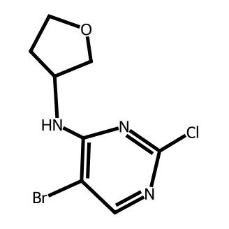 Clc1ncc(Br)c(NC2CCOC2)n1